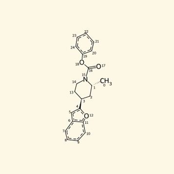 C[C@@H]1C[C@@H](c2cc3ccccc3o2)CCN1C(=O)Oc1ccccc1